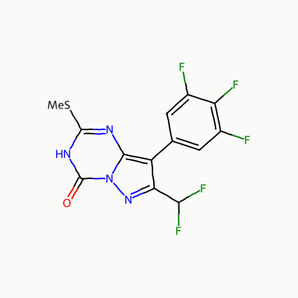 CSc1nc2c(-c3cc(F)c(F)c(F)c3)c(C(F)F)nn2c(=O)[nH]1